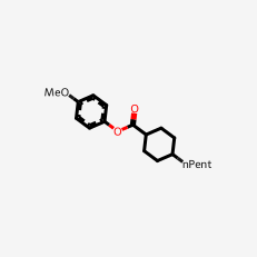 CCCCCC1CCC(C(=O)Oc2ccc(OC)cc2)CC1